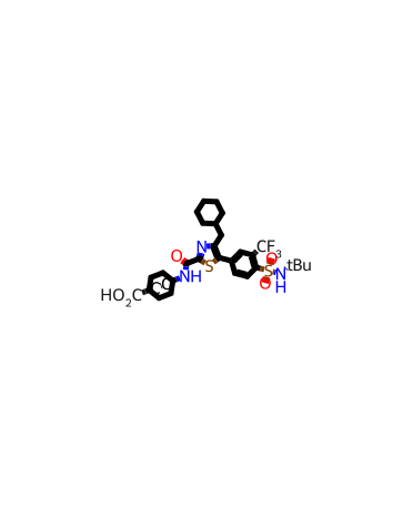 CC(C)(C)NS(=O)(=O)c1ccc(-c2sc(C(=O)NC34CCC(C(=O)O)(CC3)CC4)nc2CC2CCCCC2)cc1C(F)(F)F